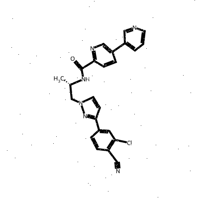 C[C@@H](Cn1ccc(-c2ccc(C#N)c(Cl)c2)n1)NC(=O)c1ccc(-c2cccnc2)cn1